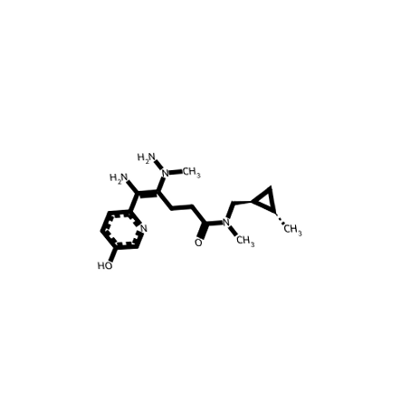 C[C@H]1C[C@@H]1CN(C)C(=O)CC/C(=C(/N)c1ccc(O)cn1)N(C)N